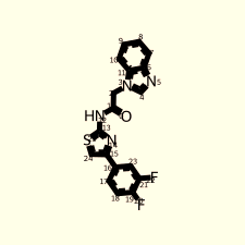 O=C(Cn1cnc2ccccc21)Nc1nc(-c2ccc(F)c(F)c2)cs1